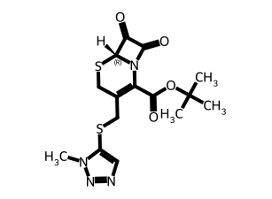 Cn1nncc1SCC1=C(C(=O)OC(C)(C)C)N2C(=O)C(=O)[C@H]2SC1